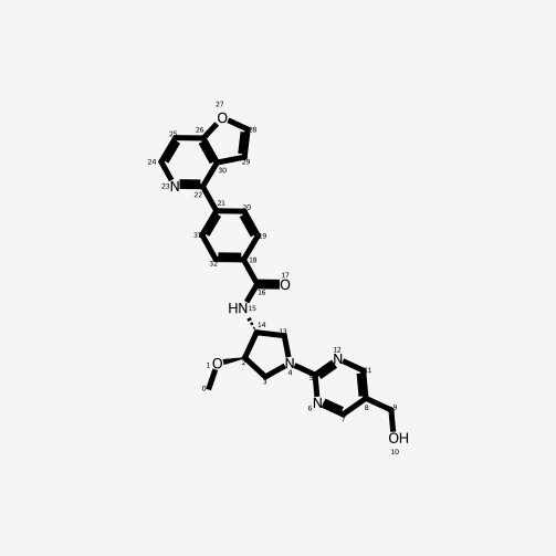 CO[C@@H]1CN(c2ncc(CO)cn2)C[C@H]1NC(=O)c1ccc(-c2nccc3occc23)cc1